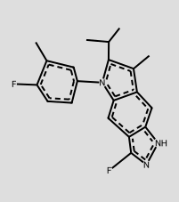 Cc1cc(-n2c(C(C)C)c(C)c3cc4[nH]nc(F)c4cc32)ccc1F